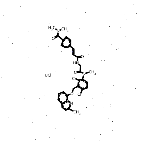 Cc1ccc2cccc(OCc3c(Cl)ccc(N(C)C(=O)CNC(=O)/C=C/c4ccc(C(=O)N(C)C)cc4)c3Cl)c2n1.Cl